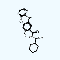 CN(c1ccc(Cl)c(C(=O)NC(O)C2CCCCC2)c1)c1nccnc1Cl